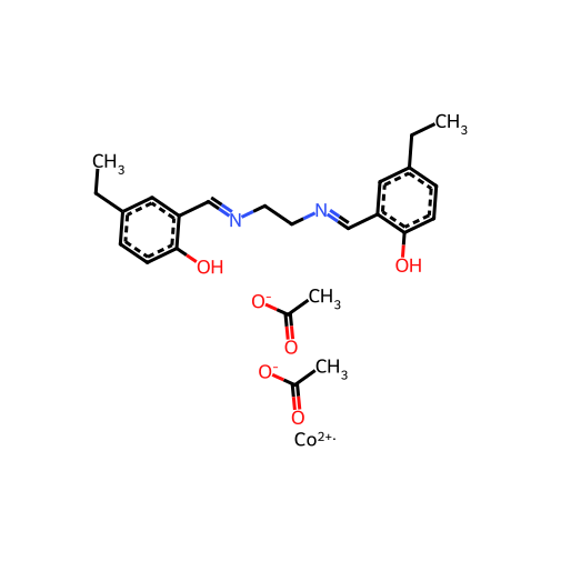 CC(=O)[O-].CC(=O)[O-].CCc1ccc(O)c(C=NCCN=Cc2cc(CC)ccc2O)c1.[Co+2]